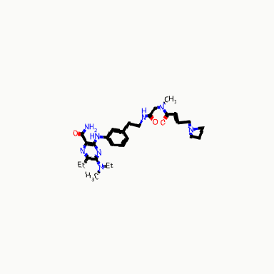 CCc1nc(C(N)=O)c(Nc2cccc(CCNC(=O)CN(C)C(=O)C=CCN3CCC3)c2)nc1N(C)CC